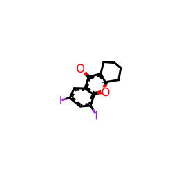 O=c1c2c(oc3c(I)cc(I)cc13)CCCC2